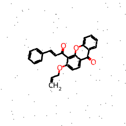 C=CCOc1ccc2c(=O)c3ccccc3oc2c1C(=O)C=Cc1ccccc1